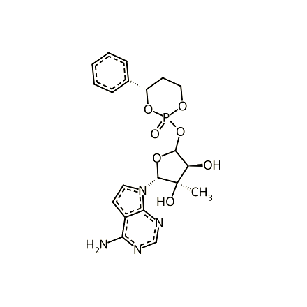 C[C@@]1(O)[C@H](O)C(OP2(=O)OCC[C@@H](c3ccccc3)O2)O[C@H]1n1ccc2c(N)ncnc21